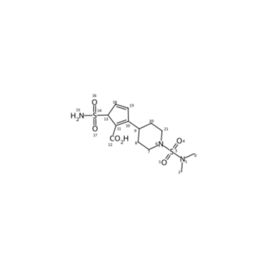 CN(C)S(=O)(=O)N1CCC(C2=C(C(=O)O)C(S(N)(=O)=O)C=C2)CC1